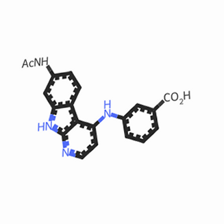 CC(=O)Nc1ccc2c(c1)[nH]c1nccc(Nc3cccc(C(=O)O)c3)c12